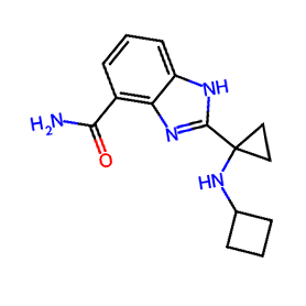 NC(=O)c1cccc2[nH]c(C3(NC4CCC4)CC3)nc12